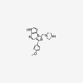 COc1ccc(-c2nc(CN3CCNCC3)n3c2cnc2[nH]ccc23)cc1